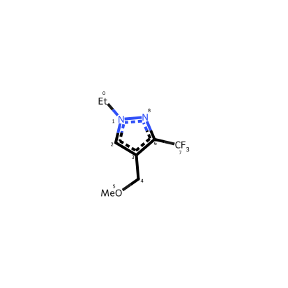 CCn1cc(COC)c(C(F)(F)F)n1